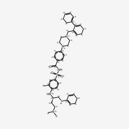 Cc1cc(S(=O)(=O)NC(=O)c2ccc(N3CCN(CC4=CCCC=C4C4=CC=CCC4)CC3)cc2)ccc1N[C@H](CCN(C)C)CSC1=CCCC=C1